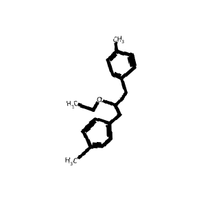 CCOC(Cc1ccc(C)cc1)Cc1ccc(C)cc1